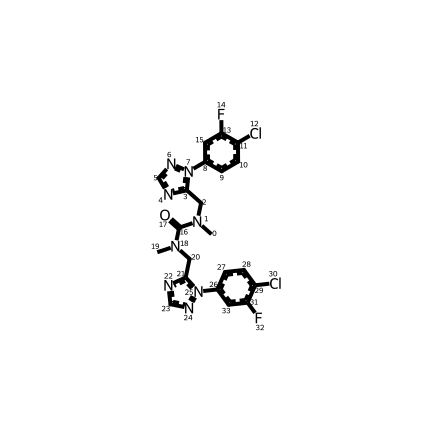 CN(Cc1ncnn1-c1ccc(Cl)c(F)c1)C(=O)N(C)Cc1ncnn1-c1ccc(Cl)c(F)c1